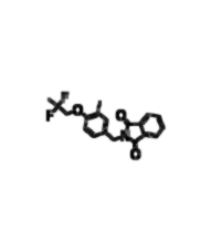 Cc1cc(CN2C(=O)c3ccccc3C2=O)ccc1OCC(C)(F)F